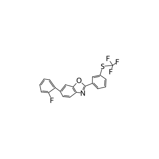 Fc1ccccc1-c1ccc2nc(-c3cccc(SC(F)(F)F)c3)oc2c1